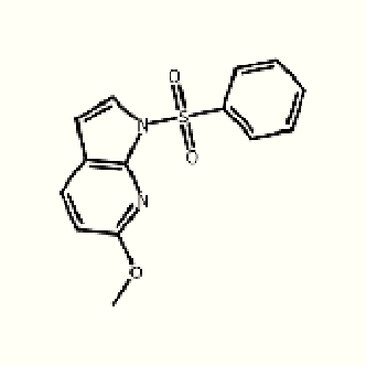 COc1ccc2ccn(S(=O)(=O)c3ccccc3)c2n1